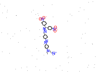 CCN(CC[N+](C)(C)C)c1ccc(/N=N/c2ccc(/C=N/N=C(c3ccc([N+](=O)[O-])cc3)c3ccc([N+](=O)[O-])cc3)cc2)cc1